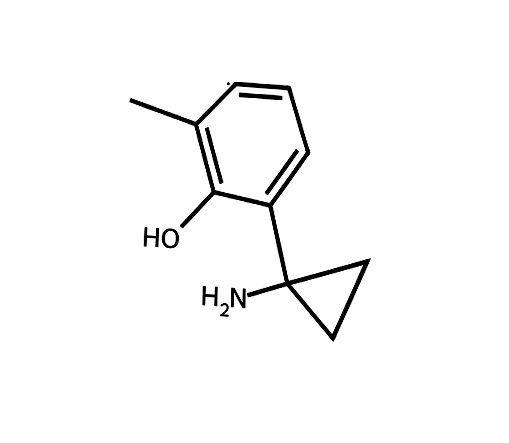 Cc1[c]ccc(C2(N)CC2)c1O